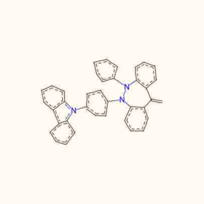 C=C1c2ccccc2N(c2ccccc2)N(c2ccc(-n3c4ccccc4c4ccccc43)cc2)c2ccccc21